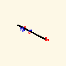 C=CCCCCNC(=O)[C@@H](N)CCCCNC(=O)CCCCCCCCCCCCCCCCC(=O)O